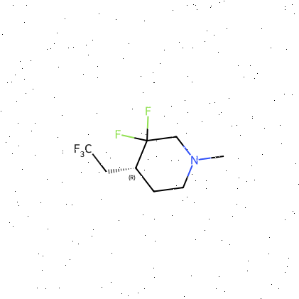 CN1CC[C@H](CC(F)(F)F)C(F)(F)C1